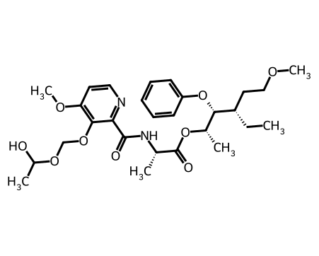 CC[C@@H](CCOC)[C@@H](Oc1ccccc1)[C@H](C)OC(=O)[C@H](C)NC(=O)c1nccc(OC)c1OCOC(C)O